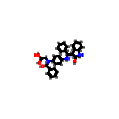 O=C(O)CN(C(=O)c1ccccc1)c1ccc(N/C(=C2\C(=O)Nc3ccccc32)c2ccccc2)cc1